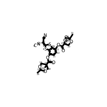 [C-]#[N+]C(C#N)=C1Sc2c(OC(=O)C34COC(C)(OC3)OC4)ccc(OC(=O)C34COC(C)(OC3)OC4)c2S1